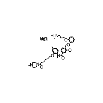 COc1cc(C(=O)N(C)c2ccc(C)cc2OCCCCCC(=O)N2CCN(C)CC2)ccc1COc1ccccc1OCCCN.Cl.Cl